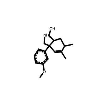 COc1cccc(C2(CN)C=C(C)C(C)CC2CO)c1